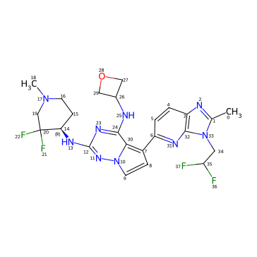 Cc1nc2ccc(-c3ccn4nc(N[C@@H]5CCN(C)CC5(F)F)nc(NC5COC5)c34)nc2n1CC(F)F